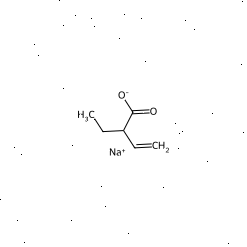 C=CC(CC)C(=O)[O-].[Na+]